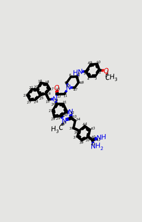 COc1ccc(NC2CCN(CC(=O)N(Cc3cccc4ccccc34)c3ccc4c(c3)nc(CCc3ccc(C(=N)N)cc3)n4C)CC2)cc1